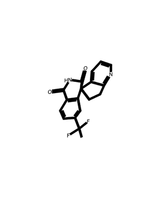 CC(F)(F)c1ccc2c(c1)C1(CCc3ncccc31)C(=O)NC2=O